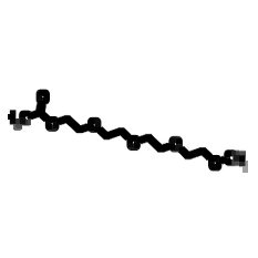 COCCOCCOCCOCCOC(C)=O